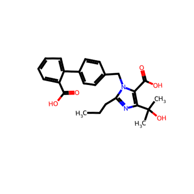 CCCc1nc(C(C)(C)O)c(C(=O)O)n1Cc1ccc(-c2ccccc2C(=O)O)cc1